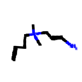 C=CCC[N+](C)(C)CC=CN